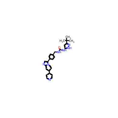 CC(C)(C)c1cc(NC(=O)NCc2ccc(-c3cnc4cc(-c5ccncc5)ccn34)cc2)[nH]n1